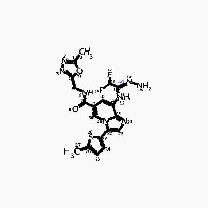 Cc1nnc(CNC(=O)c2cc(N/C(=N\N)C(F)F)c3ncc(-c4ccc(C)s4)n3c2)o1